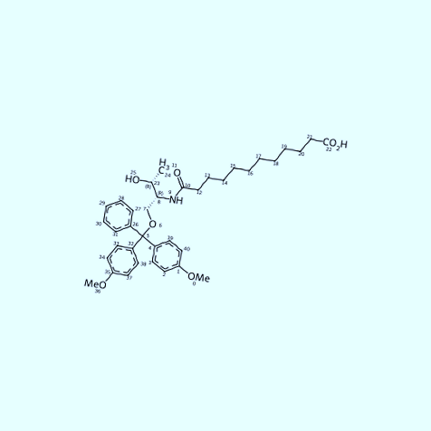 COc1ccc(C(OC[C@@H](NC(=O)CCCCCCCCCCC(=O)O)[C@@H](C)O)(c2ccccc2)c2ccc(OC)cc2)cc1